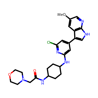 COc1cnc2[nH]cc(-c3cc(Cl)nc(NC4CCC(NC(=O)CN5CCOCC5)CC4)c3)c2c1